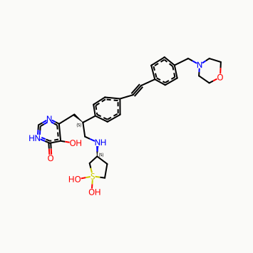 O=c1[nH]cnc(C[C@H](CN[C@H]2CCS(O)(O)C2)c2ccc(C#Cc3ccc(CN4CCOCC4)cc3)cc2)c1O